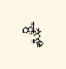 CC1=NN(C(=O)N[C@@H](C)c2ccccc2)C(C)C1Cc1c[nH]c2ncccc12